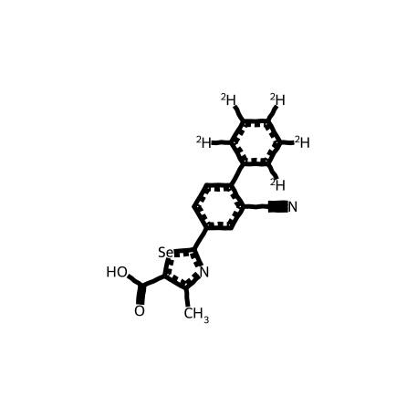 [2H]c1c([2H])c([2H])c(-c2ccc(-c3nc(C)c(C(=O)O)[se]3)cc2C#N)c([2H])c1[2H]